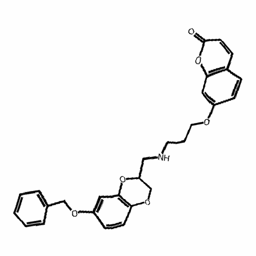 O=c1ccc2ccc(OCCCNCC3COc4ccc(OCc5ccccc5)cc4O3)cc2o1